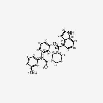 CC(C)(C)c1cccc(NC(=O)[C@H]2CCCN(C(=O)c3cccc4[nH]ccc34)[C@H]2c2ccccc2)c1